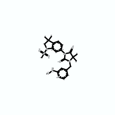 CC(C)Nc1cc(CN2C(=O)N(c3ccc4c(c3)N(S(C)(=O)=O)CC4(C)C)C(=O)C2(C)C)ccn1